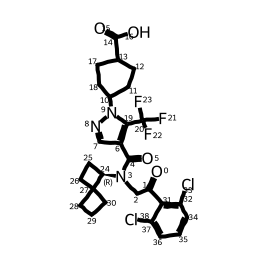 O=C(CN(C(=O)c1cnn(C2CCC(C(=O)O)CC2)c1C(F)(F)F)[C@@H]1CCC12CCC2)c1c(Cl)cccc1Cl